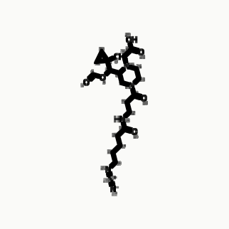 CC1(C(OC=O)C2CN(C(=O)CCNC(=O)CCCCN=[N+]=[N-])CCN2CC(=O)O)CC1